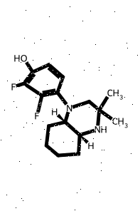 CC1(C)CN(c2ccc(O)c(F)c2F)[C@H]2CCCC[C@H]2N1